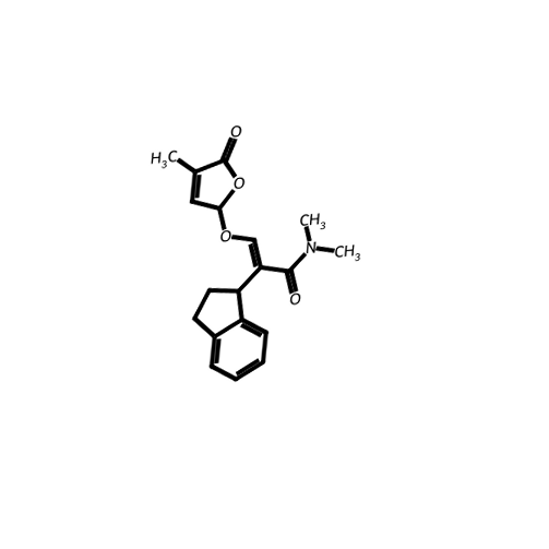 CC1=CC(O/C=C(/C(=O)N(C)C)C2CCc3ccccc32)OC1=O